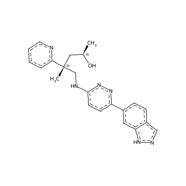 C[C@@H](O)C[C@](C)(CNc1ccc(-c2ccc3cn[nH]c3c2)nn1)c1ccccn1